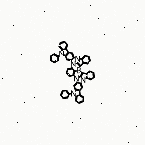 c1ccc(-n2c3ccccc3c3cc4c(cc32)n2c3c(c5ccccc5n43)B3c4c-2cccc4-n2c4cc5c(cc4n4c6ccccc6c3c24)c2ccccc2n5-c2ccccc2)cc1